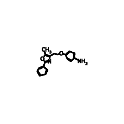 Cc1oc(-c2ccccc2)nc1CCOc1ccc(N)cc1